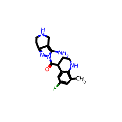 Cc1cc(F)cc2c1NCCC2C(=O)n1nc2c(c1N)CNCC2